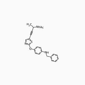 CC(=O)NC(C)C#Cc1cnc(Oc2ccc(NCc3ccccc3)cc2)s1